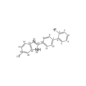 Fc1ccccc1-c1ccc(-c2nc3ccc(I)cc3[nH]2)cc1